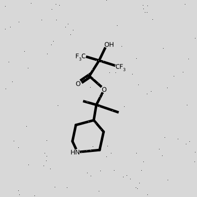 CC(C)(OC(=O)C(O)(C(F)(F)F)C(F)(F)F)C1CCNCC1